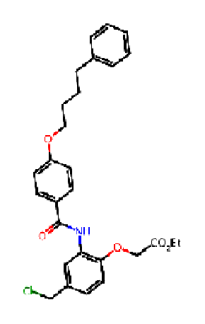 CCOC(=O)COc1ccc(CCl)cc1NC(=O)c1ccc(OCCCCc2ccccc2)cc1